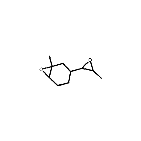 CC1OC1C1CCC2OC2(C)C1